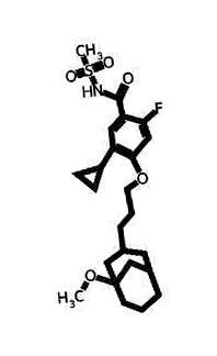 COC12CCCC(CC(CCCOc3cc(F)c(C(=O)NS(C)(=O)=O)cc3C3CC3)C1)C2